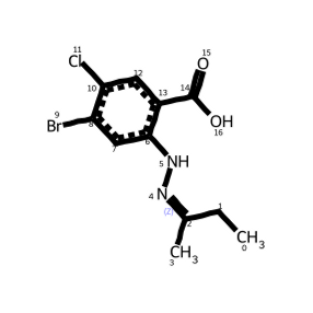 CC/C(C)=N\Nc1cc(Br)c(Cl)cc1C(=O)O